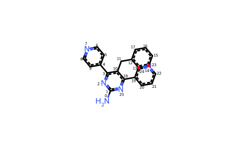 Nc1nc(-c2ccncc2)c(Cc2ccccc2)c(-c2cccnc2)n1